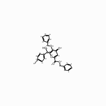 O=C(OCc1ccccc1)c1cc(=O)c(OCc2ccccc2)c(C(O)c2ccc(F)cc2)o1